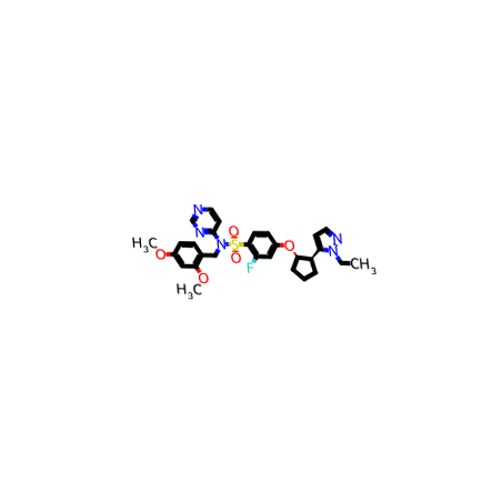 CCn1nccc1[C@H]1CCC[C@@H]1Oc1ccc(S(=O)(=O)N(Cc2ccc(OC)cc2OC)c2ccncn2)c(F)c1